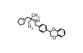 CC(C)(CN1CCCC1)NCc1ccc(C2COc3ccccc3O2)cc1